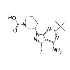 CC(C)(C)c1nc(N)c2c(I)nn(C3CCCN(C(=O)O)C3)c2n1